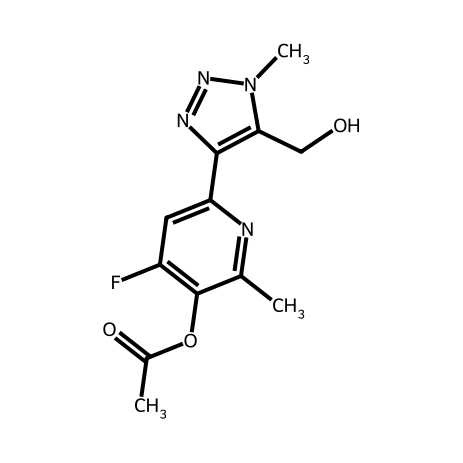 CC(=O)Oc1c(F)cc(-c2nnn(C)c2CO)nc1C